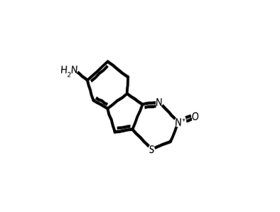 NC1=CCC2C(=C1)C=C1SC[N+](=O)N=C12